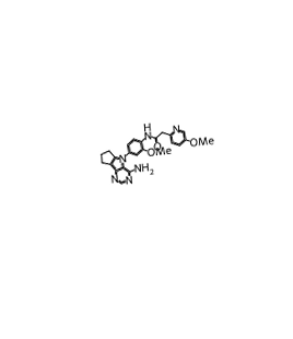 COc1ccc(CC(=O)Nc2ccc(-n3c4c(c5ncnc(N)c53)CCC4)cc2OC)nc1